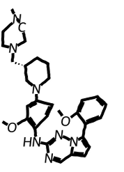 COc1cc(N2CCC[C@@H](CN3CCN(C)CC3)C2)ccc1Nc1ncc2ccc(-c3ccccc3OC)n2n1